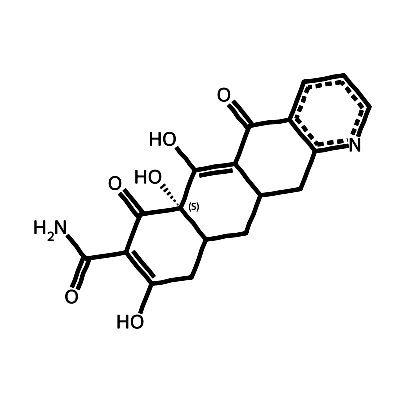 NC(=O)C1=C(O)CC2CC3Cc4ncccc4C(=O)C3=C(O)[C@]2(O)C1=O